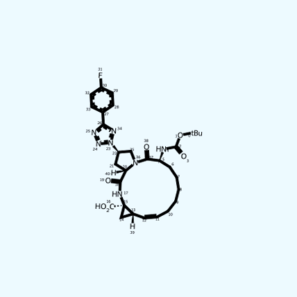 CC(C)(C)OC(=O)N[C@H]1CCCCC/C=C\[C@@H]2C[C@@]2(C(=O)O)NC(=O)[C@@H]2C[C@@H](n3nnc(-c4ccc(F)cc4)n3)CN2C1=O